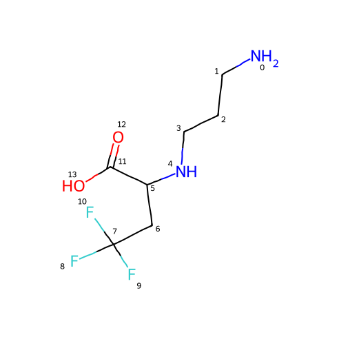 NCCCNC(CC(F)(F)F)C(=O)O